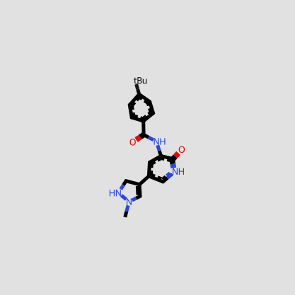 CN1C=C(c2c[nH]c(=O)c(NC(=O)c3ccc(C(C)(C)C)cc3)c2)CN1